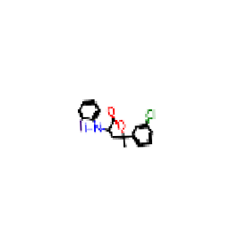 CC1(c2cccc(Cl)c2)CC(Nc2ccccc2I)C(=O)O1